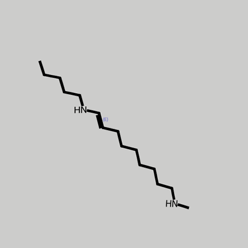 CCCCCN/C=C/CCCCCCCNC